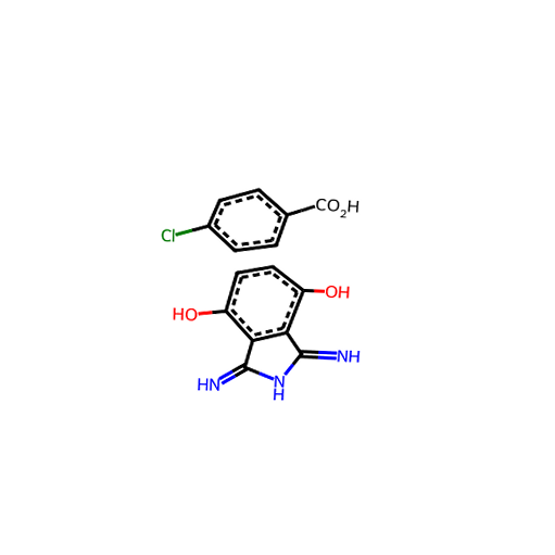 N=C1NC(=N)c2c(O)ccc(O)c21.O=C(O)c1ccc(Cl)cc1